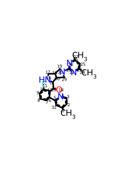 Cc1ccnc(-c2cccc(F)c2C(=O)C2NCC3CN(c4nc(C)cc(C)n4)CC32)c1